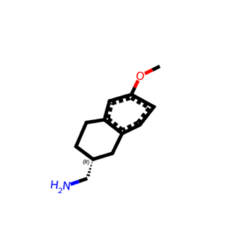 COc1ccc2c(c1)CC[C@@H](CN)C2